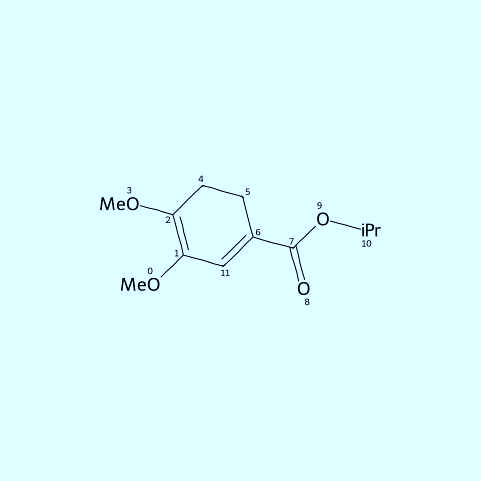 COC1=C(OC)CCC(C(=O)OC(C)C)=C1